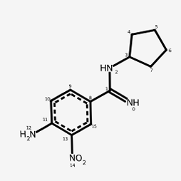 N=C(NC1CCCC1)c1ccc(N)c([N+](=O)[O-])c1